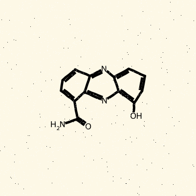 NC(=O)c1cccc2nc3cccc(O)c3nc12